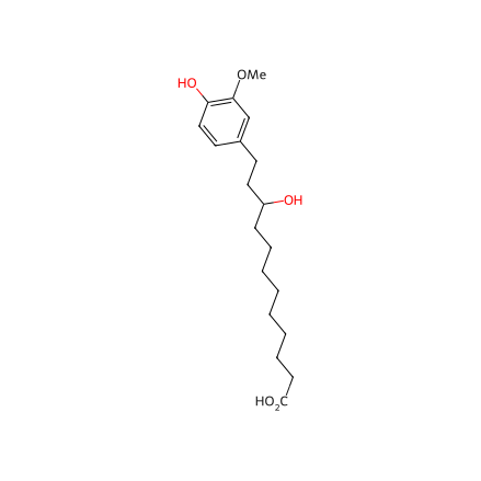 COc1cc(CCC(O)CCCCCCCCC(=O)O)ccc1O